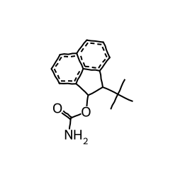 CC(C)(C)C1c2cccc3cccc(c23)C1OC(N)=O